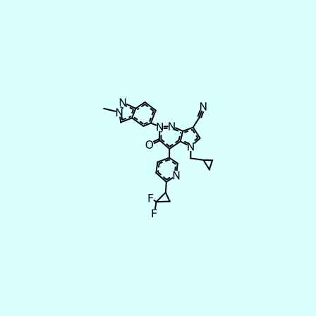 Cn1cc2cc(-n3nc4c(C#N)cn(CC5CC5)c4c(-c4ccc(C5CC5(F)F)nc4)c3=O)ccc2n1